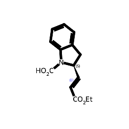 CCOC(=O)/C=C/[C@@H]1Cc2ccccc2N1C(=O)O